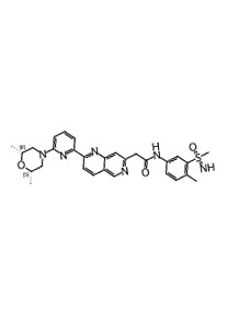 Cc1ccc(NC(=O)Cc2cc3nc(-c4cccc(N5C[C@@H](C)O[C@@H](C)C5)n4)ccc3cn2)cc1S(C)(=N)=O